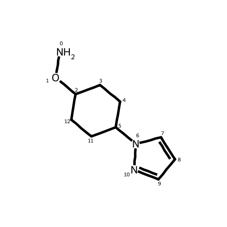 NOC1CCC(n2cccn2)CC1